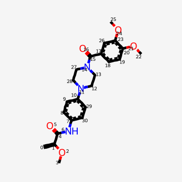 C=C(OC)C(=O)Nc1ccc(N2CCN(C(=O)c3ccc(OC)c(OC)c3)CC2)cc1